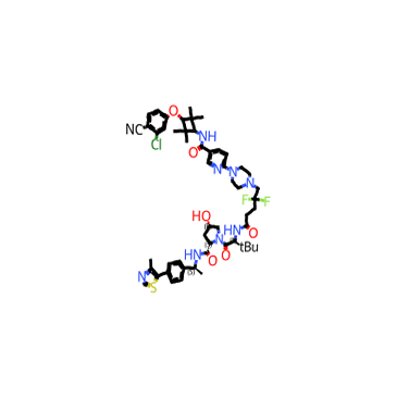 Cc1ncsc1-c1ccc([C@H](C)NC(=O)[C@@H]2C[C@@H](O)CN2C(=O)[C@@H](NC(=O)CCC(F)(F)CN2CCN(c3ccc(C(=O)NC4C(C)(C)C(Oc5ccc(C#N)c(Cl)c5)C4(C)C)cn3)CC2)C(C)(C)C)cc1